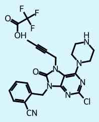 CC#CCn1c(=O)n(Cc2ccccc2C#N)c2nc(Cl)nc(N3CCNCC3)c21.O=C(O)C(F)(F)F